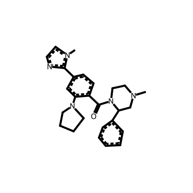 CN1CCN(C(=O)c2ccc(-c3nccn3C)cc2N2CCCC2)C(c2ccccc2)C1